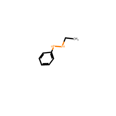 CCPPc1ccccc1